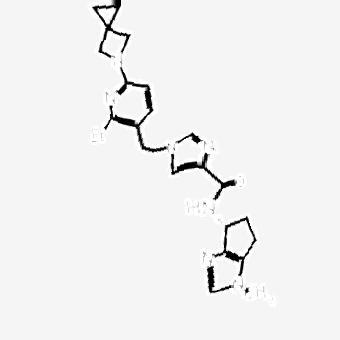 CCc1nc(N2CC3(CC3)C2)ccc1Cn1cnc(C(=O)N[C@@H]2CCc3c2ncn3C)c1